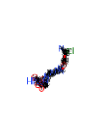 CN(C(=O)c1c(C=O)cccc1N1CCN(CC2CCN(C3CN(c4nccc(COc5ccc(C(C)(C)c6cc(Cl)cc(C#N)c6)cc5)n4)C3)CC2)CC1)C1CCC(=O)NC1=O